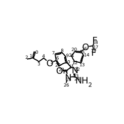 C=C(C)CCOc1cccc([C@@]2(C3C=CC(OC(F)F)=CC3)N=C(N)N(C)C2=O)c1